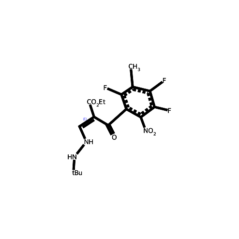 CCOC(=O)/C(=C/NNC(C)(C)C)C(=O)c1c(F)c(C)c(F)c(F)c1[N+](=O)[O-]